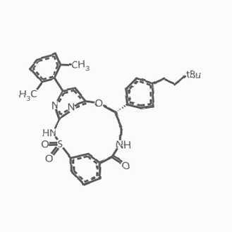 Cc1cccc(C)c1-c1cc2nc(n1)NS(=O)(=O)c1cccc(c1)C(=O)NC[C@@H](c1ccc(CCC(C)(C)C)cc1)O2